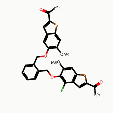 CCCC(=O)c1cc2cc(OCc3ccccc3COc3c(OC)cc4sc(C(=O)CCC)cc4c3F)c(OC)cc2s1